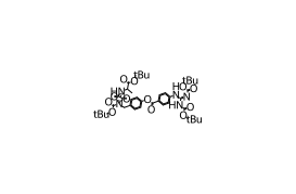 CC(NS(=O)(=O)N(Cc1ccc(OC(=O)c2ccc(NC(=NC(=O)OC(C)(C)C)NC(=O)OC(C)(C)C)cc2)cc1)C(=O)OC(C)(C)C)C(=O)OC(C)(C)C